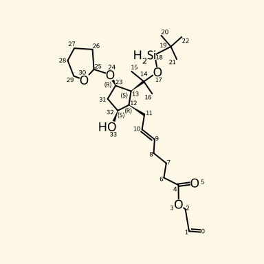 C=CCOC(=O)CCCC=CC[C@@H]1[C@H](C(C)(C)O[SiH2]C(C)(C)C)[C@H](OC2CCCCO2)C[C@@H]1O